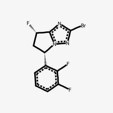 Fc1cccc([C@@H]2C[C@H](F)c3nc(Br)nn32)c1F